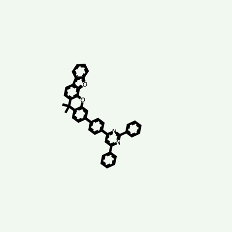 CC1(C)c2ccc(-c3ccc(-c4cc(-c5ccccc5)nc(-c5ccccc5)n4)cc3)cc2Oc2c1ccc1c2oc2ccccc21